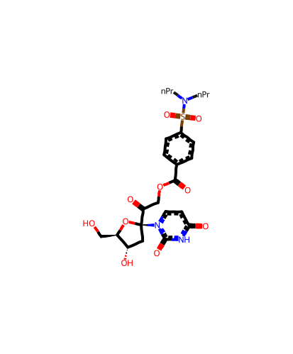 CCCN(CCC)S(=O)(=O)c1ccc(C(=O)OCC(=O)[C@]2(n3ccc(=O)[nH]c3=O)C[C@H](O)[C@@H](CO)O2)cc1